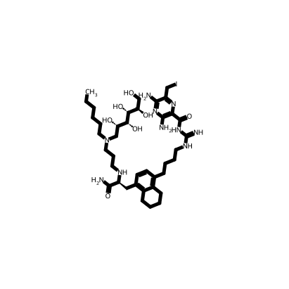 CCCCCCN(CCCN[C@@H](Cc1ccc(CCCCNC(=N)NC(=O)c2nc(CI)c(N)nc2N)c2c1CCCC2)C(N)=O)C[C@H](O)[C@@H](O)[C@H](O)[C@H](O)CO